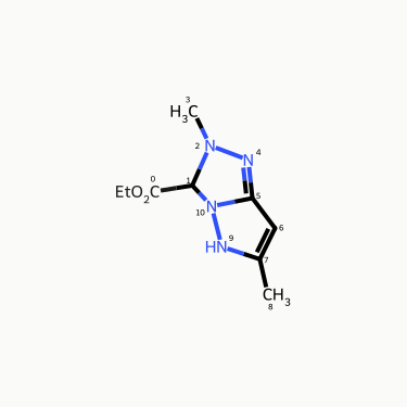 CCOC(=O)C1N(C)N=C2C=C(C)NN21